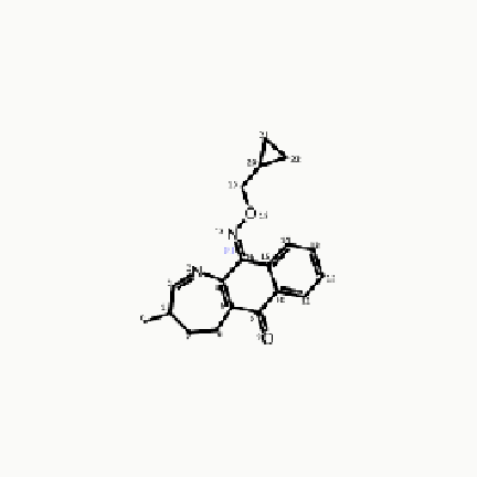 CC1C=NC2=C(CC1)C(=O)c1ccccc1/C2=N\OCC1CC1